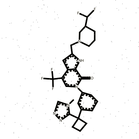 Cn1cnnc1C1(c2cccc(-n3cc(C(F)(F)F)c4cc(CN5CCCC(C(F)F)C5)[nH]c4c3=O)c2)CCC1